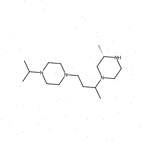 CC(C)N1CCN(CCC(C)N2CCN[C@@H](C)C2)CC1